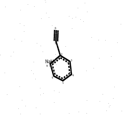 C#Cc1ccccc1.[NaH]